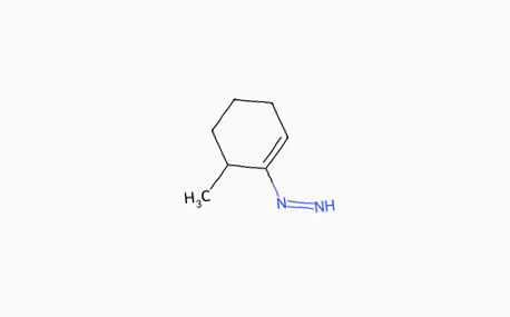 CC1CCCC=C1N=N